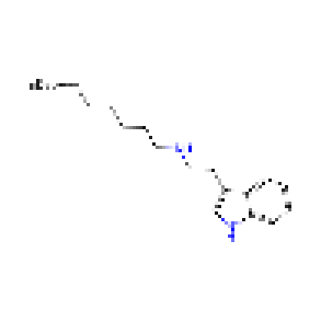 CCCCCCCCCCCCCCCCNCCc1c[nH]c2ccccc12